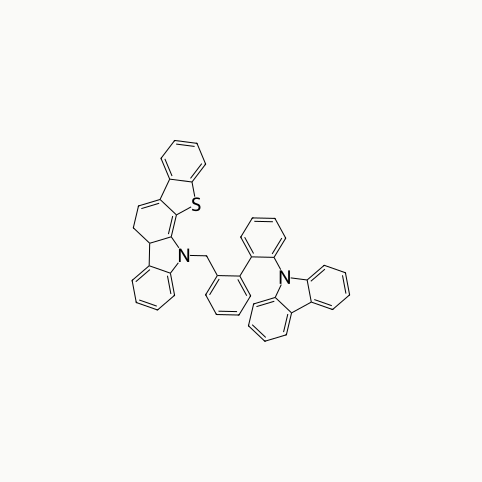 C1=c2c(sc3ccccc23)=C2C(C1)c1ccccc1N2Cc1ccccc1-c1ccccc1-n1c2ccccc2c2ccccc21